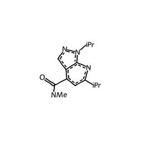 CNC(=O)c1cc(C(C)C)nc2c1cnn2C(C)C